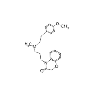 COc1ccc(CCN(C)CCCN2C(=O)COc3ccccc32)cc1